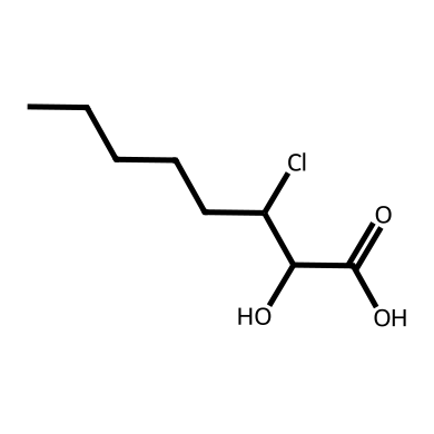 CCCCCC(Cl)C(O)C(=O)O